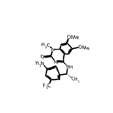 COc1cc2c(N[C@H](C)c3cc(N)cc(C(F)(F)F)c3)nc(=O)n(C)c2cc1OC